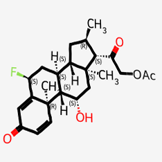 CC(=O)OCC(=O)[C@H]1[C@H](C)C[C@H]2[C@@H]3C[C@H](F)C4=CC(=O)C=C[C@]4(C)[C@H]3[C@@H](O)C[C@@]21C